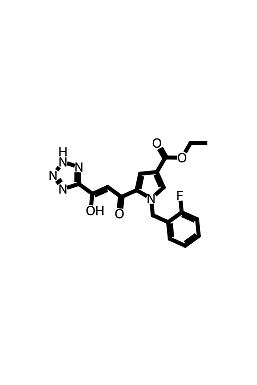 CCOC(=O)c1cc(C(=O)C=C(O)c2nn[nH]n2)n(Cc2ccccc2F)c1